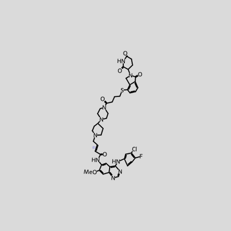 COc1cc2ncnc(Nc3ccc(F)c(Cl)c3)c2cc1NC(=O)/C=C/CN1CCC(N2CCN(C(=O)CCCSc3cccc4c3CN(C3CCC(=O)NC3=O)C4=O)CC2)CC1